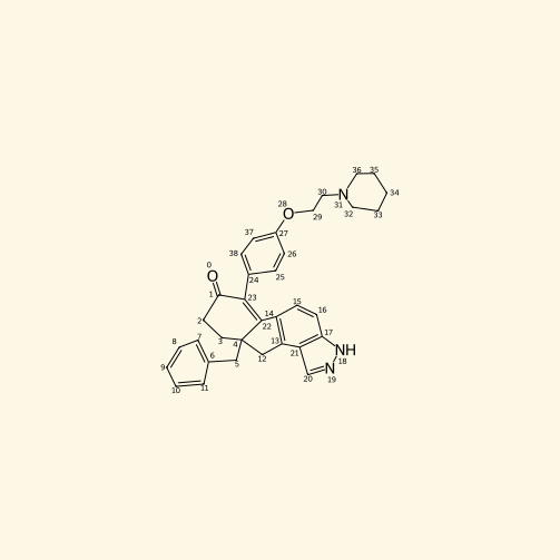 O=C1CCC2(Cc3ccccc3)Cc3c(ccc4[nH]ncc34)C2=C1c1ccc(OCCN2CCCCC2)cc1